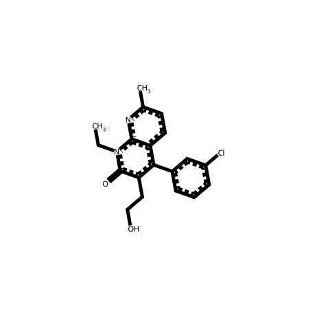 CCn1c(=O)c(CCO)c(-c2cccc(Cl)c2)c2ccc(C)nc21